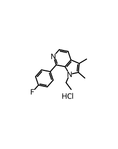 CCn1c(C)c(C)c2ccnc(-c3ccc(F)cc3)c21.Cl